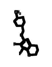 CC1CCC(COc2cc3c(c(F)c2F)OCCC3)CC1